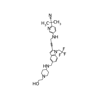 CC(C)(C#N)c1ccc(NCC#Cc2cc3cc(CNC4CCN(CCO)CC4)ccc3n2CC(F)(F)F)cn1